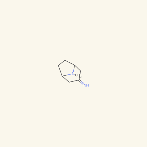 CN1C2CCC1CC(=N)C2